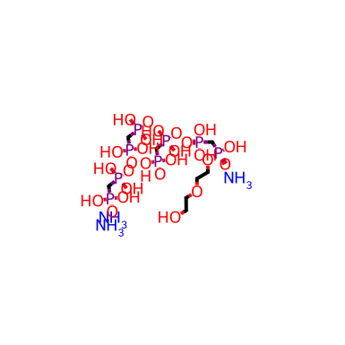 N.N.N.O=P(O)(O)CP(=O)(O)O.O=P(O)(O)CP(=O)(O)O.O=P(O)(O)CP(=O)(O)O.O=P(O)(O)CP(=O)(O)OCCOCCO